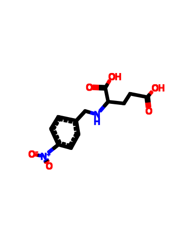 O=C(O)CCC(NCc1ccc([N+](=O)[O-])cc1)C(=O)O